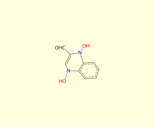 O=CC1=CN(O)c2ccccc2N1O